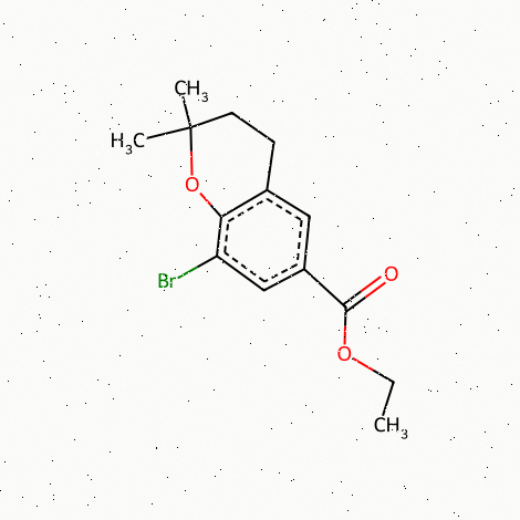 CCOC(=O)c1cc(Br)c2c(c1)CCC(C)(C)O2